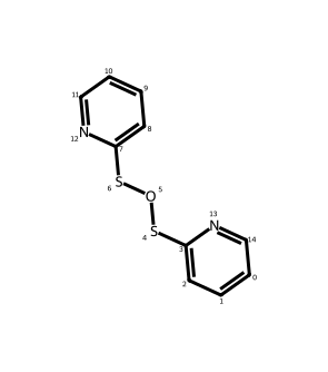 c1ccc(SOSc2ccccn2)nc1